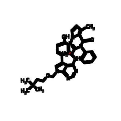 Cc1ccn2nc(C(C)Nc3ncnc4c3c(-c3ccc(O)cc3)cn4COCC[Si](C)(C)C)n(-c3ccccc3)c(=O)c12